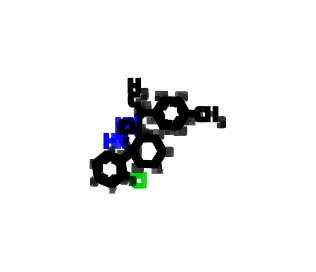 CN[C@@]1(c2ccccc2Cl)CCCC[C@@H]1N[C@H](C)c1ccc(C)cc1